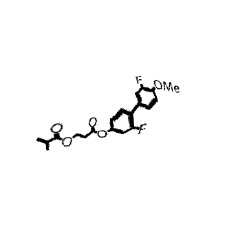 C=C(C)C(=O)OCCC(=O)Oc1ccc(-c2ccc(OC)c(F)c2)c(F)c1